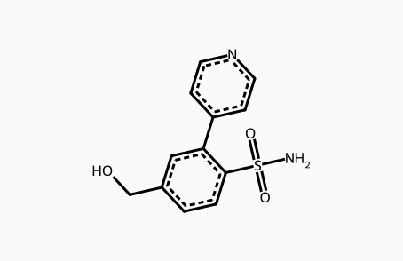 NS(=O)(=O)c1ccc(CO)cc1-c1ccncc1